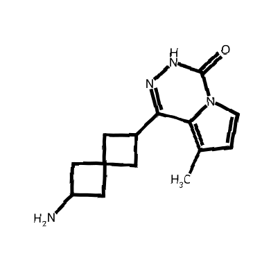 Cc1ccn2c(=O)[nH]nc(C3CC4(CC(N)C4)C3)c12